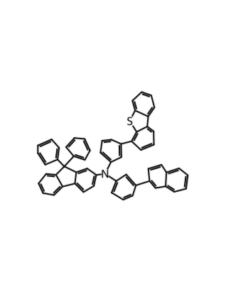 c1ccc(C2(c3ccccc3)c3ccccc3-c3ccc(N(c4cccc(-c5ccc6ccccc6c5)c4)c4cccc(-c5cccc6c5sc5ccccc56)c4)cc32)cc1